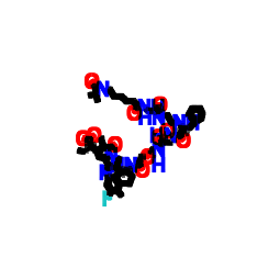 CC[C@H]1C(=O)OCc2c1cc1n(c2=O)Cc2c-1nc1cc(F)c(C)c3c1c2[C@@H](NC(=O)COCNC(=O)CNC(=O)[C@H](Cc1ccccc1)NC(=O)CNC(=O)CNC(=O)CCCCCN1C(=O)C1(C)C)CC3